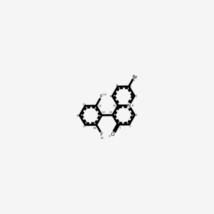 O=c1ccn2cc(Br)ccc2c1-c1c(F)cccc1F